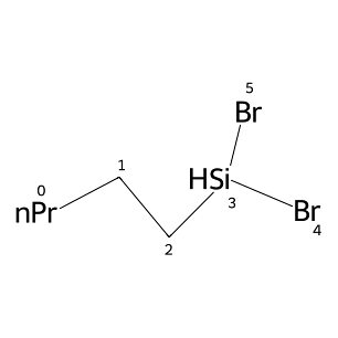 CCCCC[SiH](Br)Br